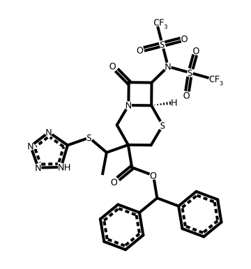 CC(Sc1nnn[nH]1)C1(C(=O)OC(c2ccccc2)c2ccccc2)CS[C@@H]2C(N(S(=O)(=O)C(F)(F)F)S(=O)(=O)C(F)(F)F)C(=O)N2C1